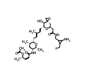 CC(=O)O[C@@H](C)/C=C\C(=O)N[C@@H]1C[C@H](C)[C@H](C/C=C(C)/C=C/[C@H]2O[C@H](CC(=O)NCC3C(N)C3CF)C[C@@]3(CO3)[C@@H]2O)O[C@@H]1C